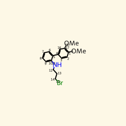 COc1ccc(-c2ccccc2NCCCBr)cc1OC